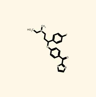 CN(CCC(Oc1ccc(C(=O)c2nccs2)cc1)c1ccc(F)cc1)CC(=O)O